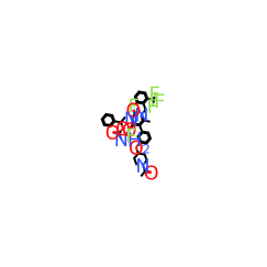 CC(=O)N1CCC(Oc2cccc(-c3c(C)n(Cc4c(F)cccc4C(F)(F)F)c(=O)n(CC(OC(N)=O)c4ccccc4)c3=O)c2F)CC1